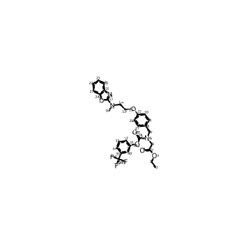 CCOC(=O)CN(Cc1ccc(OCCN(C)c2nc3ccccc3o2)cc1)C(=O)Oc1cccc(C(F)(F)F)c1